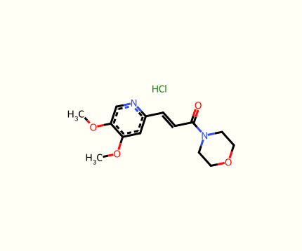 COc1cnc(C=CC(=O)N2CCOCC2)cc1OC.Cl